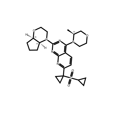 C[C@H]1COCCN1c1nc(N2CCO[C@@H]3CCC[C@@H]32)nc2nc(C3(S(=O)(=O)C4CC4)CC3)ccc12